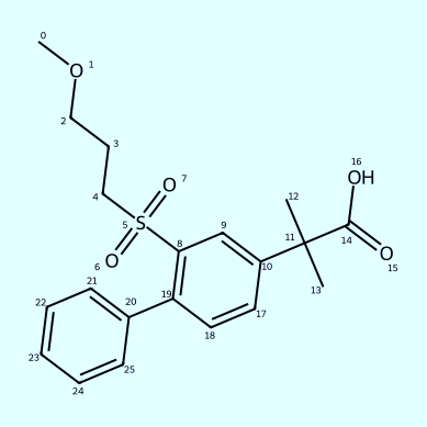 COCCCS(=O)(=O)c1cc(C(C)(C)C(=O)O)ccc1-c1ccccc1